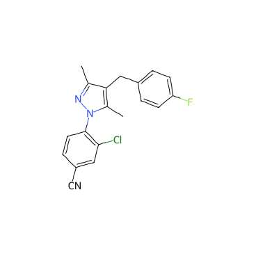 Cc1nn(-c2ccc(C#N)cc2Cl)c(C)c1Cc1ccc(F)cc1